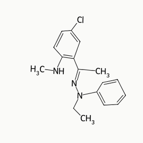 CCN(/N=C(\C)c1cc(Cl)ccc1NC)c1ccccc1